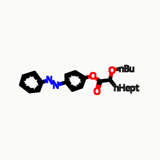 CCCCCCCC(OCCCC)C(=O)Oc1ccc(/N=N/c2ccccc2)cc1